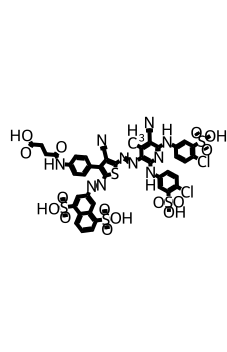 Cc1c(C#N)c(Nc2ccc(Cl)c(S(=O)(=O)O)c2)nc(Nc2ccc(Cl)c(S(=O)(=O)O)c2)c1N=Nc1sc(N=Nc2cc(S(=O)(=O)O)c3cccc(S(=O)(=O)O)c3c2)c(-c2ccc(NC(=O)CCC(=O)O)cc2)c1C#N